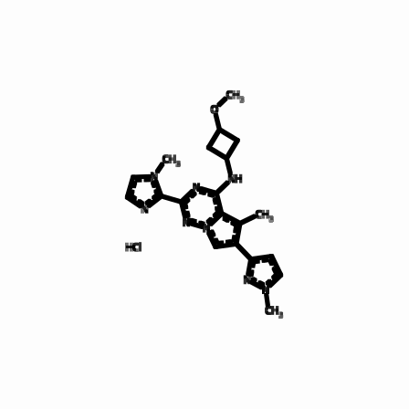 COC1CC(Nc2nc(-c3nccn3C)nn3cc(-c4ccn(C)n4)c(C)c23)C1.Cl